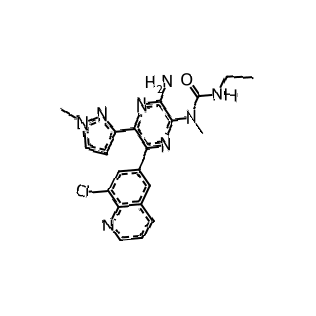 CCNC(=O)N(C)c1nc(-c2cc(Cl)c3ncccc3c2)c(-c2ccn(C)n2)nc1N